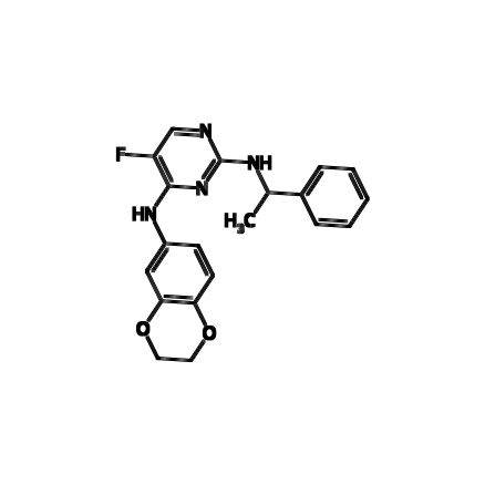 CC(Nc1ncc(F)c(Nc2ccc3c(c2)OCCO3)n1)c1ccccc1